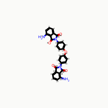 Nc1cccc2c1C(=O)N(c1ccc(Oc3ccc(N4C(=O)c5cccc(N)c5C4=O)cc3)cc1)C2=O